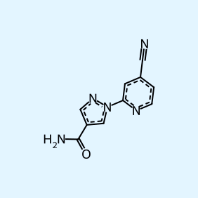 N#Cc1ccnc(-n2cc(C(N)=O)cn2)c1